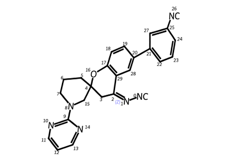 [C-]#[N+]/N=C1/CC2(CCCN(c3ncccn3)C2)Oc2ccc(-c3cccc([N+]#[C-])c3)cc21